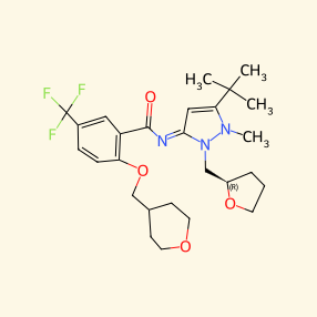 Cn1c(C(C)(C)C)cc(=NC(=O)c2cc(C(F)(F)F)ccc2OCC2CCOCC2)n1C[C@H]1CCCO1